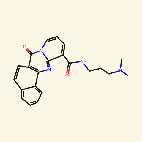 CN(C)CCCNC(=O)c1cccn2c(=O)c3ccc4ccccc4c3nc12